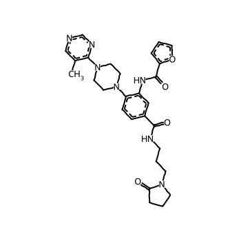 Cc1cncnc1N1CCN(c2ccc(C(=O)NCCCN3CCCC3=O)cc2NC(=O)c2ccco2)CC1